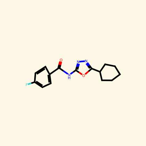 O=C(Nc1nnc(C2CCCCC2)o1)c1ccc(F)cc1